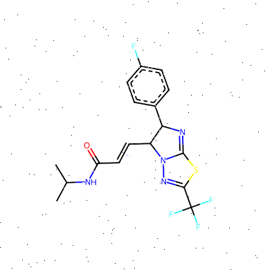 CC(C)NC(=O)/C=C/C1C(c2ccc(F)cc2)N=C2SC(C(F)(F)F)=NN21